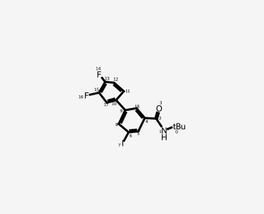 CC(C)(C)NC(=O)c1cc(I)cc(-c2ccc(F)c(F)c2)c1